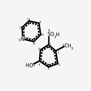 Cc1ccc(O)cc1S(=O)(=O)O.c1ccncc1